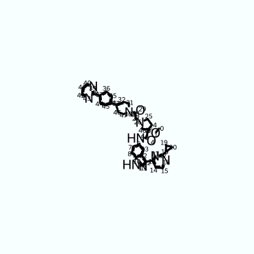 CO[C@@]1(C(=O)Nc2ccc3[nH]nc(-c4ccnc(C5CC5)n4)c3c2)CCN(CC(=O)N2CC=C(c3ccc(-c4ncccn4)cc3)CC2)C1